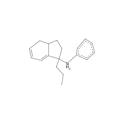 CCCC1([SiH2]c2ccccc2)CCC2CC=CC=C21